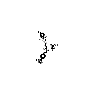 CN(CCc1ccc(C2=NCCN2)cc1)C(=O)CCCNCS(=O)(=O)c1ccc(Cl)cc1Cl.O=C(O)C(F)(F)F